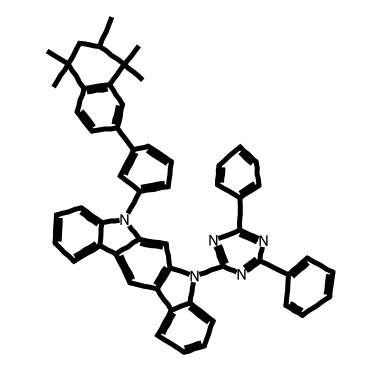 CC1CC(C)(C)c2ccc(-c3cccc(-n4c5ccccc5c5cc6c7ccccc7n(-c7nc(-c8ccccc8)nc(-c8ccccc8)n7)c6cc54)c3)cc2C1(C)C